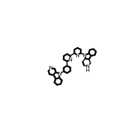 C1=Cc2c(c3ccccc3n2-c2cccc(-c3cccc(-c4cccc(-n5c6ccccc6c6ccncc65)c4)n3)n2)CN1